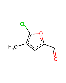 Cc1cc(C=O)oc1Cl